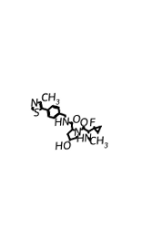 CNC(C(=O)N1CC(O)CC1C(=O)NCc1ccc(-c2scnc2C)cc1)C1(F)CC1